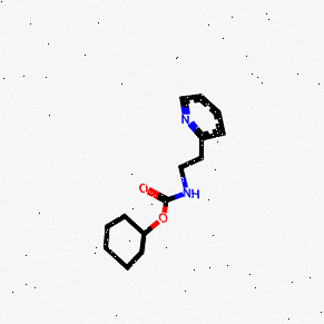 O=C(NCCc1ccccn1)OC1CCCCC1